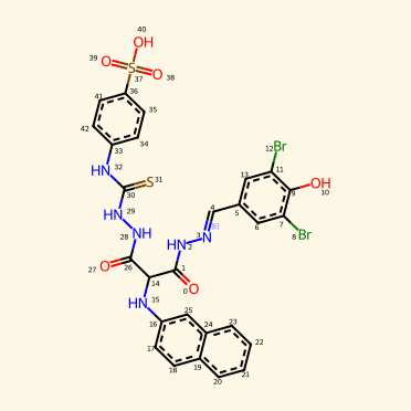 O=C(N/N=C/c1cc(Br)c(O)c(Br)c1)C(Nc1ccc2ccccc2c1)C(=O)NNC(=S)Nc1ccc(S(=O)(=O)O)cc1